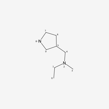 CCN(C)CC1CC[N]C1